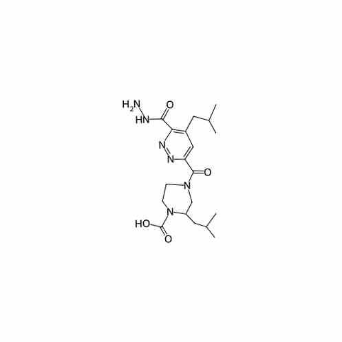 CC(C)Cc1cc(C(=O)N2CCN(C(=O)O)C(CC(C)C)C2)nnc1C(=O)NN